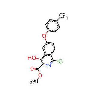 CCCCOC(=O)c1nc(Cl)c2ccc(Oc3ccc(C(F)(F)F)cc3)cc2c1O